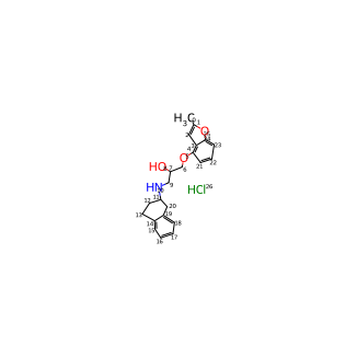 Cc1cc2c(OCC(O)CNC3CCc4ccccc4C3)cccc2o1.Cl